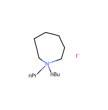 CCCC[N+]1(CCC)CCCCCC1.[I-]